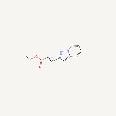 CCOC(=O)/C=C/c1cc2ccccn2n1